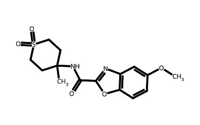 COc1ccc2oc(C(=O)NC3(C)CCS(=O)(=O)CC3)nc2c1